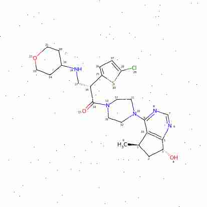 C[C@@H]1C[C@@H](O)c2ncnc(N3CCN(C(=O)[C@H](CNC4CCOCC4)c4ccc(Cl)s4)CC3)c21